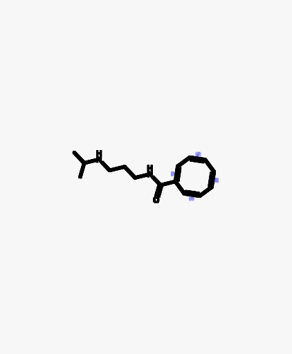 CC(C)NCCCNC(=O)C1=C/C=C\C=C/C=C\1